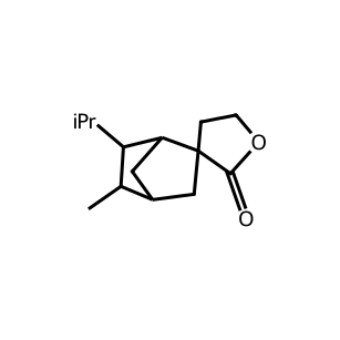 CC(C)C1C(C)C2CC1C1(CCOC1=O)C2